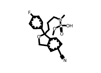 COP(=O)(O)N(C)CCCC1(c2ccc(F)cc2)OCc2cc(C#N)ccc21